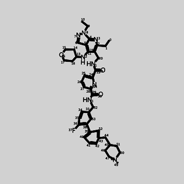 CCc1nc2c(cnn2CC)c(NC2CCOCC2)c1CNC(=O)c1cccc(C(=O)NCc2ccc(F)c(-c3cccc(CC4CCN(C)CC4)c3)c2)n1